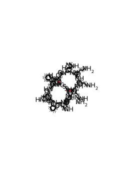 C[C@@H]1NC(=O)[C@@H]2CSS[C@H](NC(=O)[C@H](CCCNC(=N)N)NC(=O)[C@H](CCCCN)NC(=O)[C@H](CCCCN)NC(=O)[C@H](Cc3c[nH]cn3)NC1=O)C(=O)N1CCC[C@H]1C(=O)N[C@@H](Cc1c[nH]cn1)C(=O)N[C@H](Cc1ccccc1)C(=O)N[C@@H](Cc1c[nH]cn1)C(=O)N[C@@H](Cc1c[nH]c3ccccc13)C(=O)N2